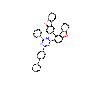 C1=CCCC(c2ccc(C3=NC(c4ccc5oc6ccccc6c5c4-c4ccc5oc6ccccc6c5c4)NC(c4ccccc4)=N3)cc2)=C1